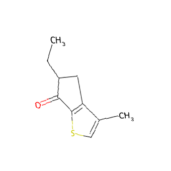 CCC1Cc2c(C)csc2C1=O